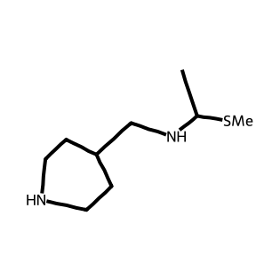 CSC(C)NCC1CCNCC1